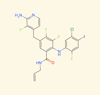 C=CCNC(=O)c1cc(Cc2ccnc(N)c2F)c(F)c(F)c1Nc1cc(Cl)c(I)cc1F